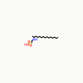 CCCCCCCCCCCCCC(C)NCCS(=O)(=O)O